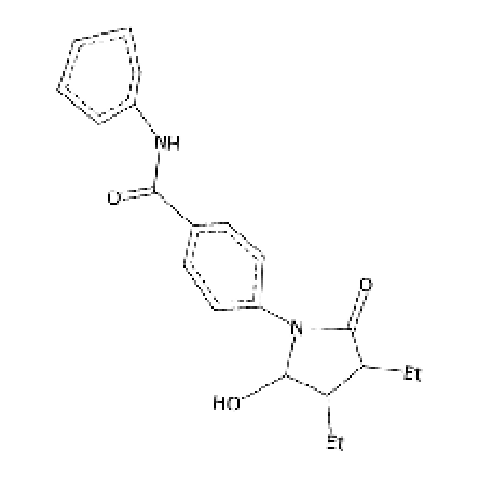 CCC1C(=O)N(c2ccc(C(=O)Nc3ccccc3)cc2)C(O)C1CC